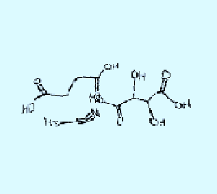 N#CS.O=C(O)C(O)C(O)C(=O)O.O=C(O)CCC(=O)O